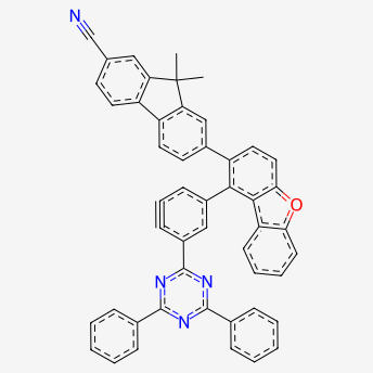 CC1(C)c2cc(C#N)ccc2-c2ccc(-c3ccc4oc5ccccc5c4c3-c3cc#cc(-c4nc(-c5ccccc5)nc(-c5ccccc5)n4)c3)cc21